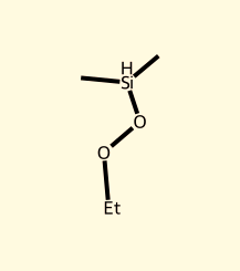 CCOO[SiH](C)C